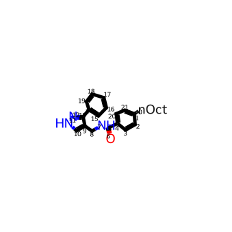 CCCCCCCCc1ccc(C(=O)NCc2c[nH]nc2-c2ccccc2)cc1